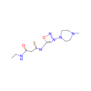 CCNC(=O)CC(=S)[N-]c1c[n+](N2CCN(C)CC2)no1